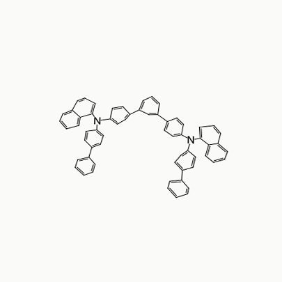 c1ccc(-c2ccc(N(c3ccc(-c4cccc(-c5ccc(N(c6ccc(-c7ccccc7)cc6)c6cccc7ccccc67)cc5)c4)cc3)c3cccc4ccccc34)cc2)cc1